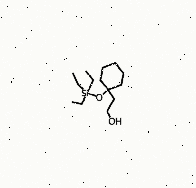 CC[Si](CC)(CC)OC1(CCO)CCCCC1